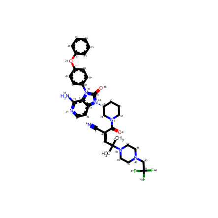 CC(C)(/C=C(/C#N)C(=O)N1CCC[C@@H](n2c(=O)n(-c3ccc(Oc4ccccc4)cc3)c3c(N)nccc32)C1)N1CCN(CC(F)(F)F)CC1